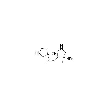 CC(C)C1(C)CNCC1CC(C)C1(C(F)(F)F)CCNC1